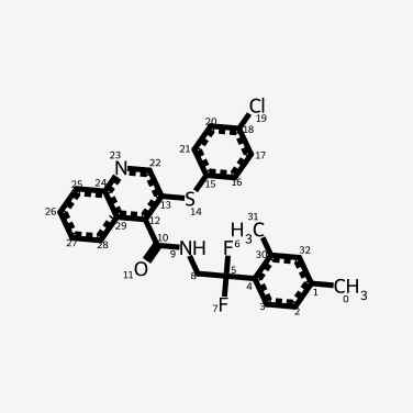 Cc1ccc(C(F)(F)CNC(=O)c2c(Sc3ccc(Cl)cc3)cnc3ccccc23)c(C)c1